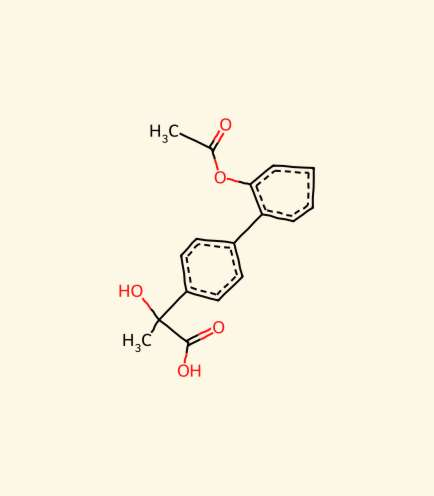 CC(=O)Oc1ccccc1-c1ccc(C(C)(O)C(=O)O)cc1